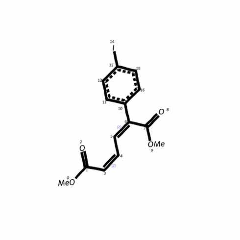 COC(=O)/C=C\C=C(/C(=O)OC)c1ccc(I)cc1